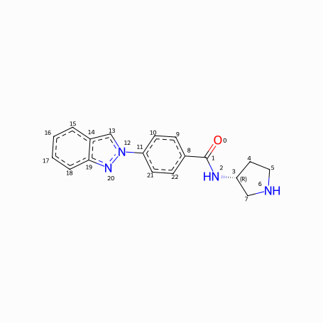 O=C(N[C@@H]1CCNC1)c1ccc(-n2cc3ccccc3n2)cc1